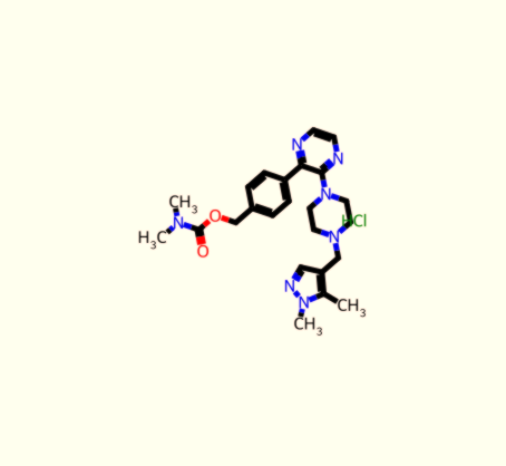 Cc1c(CN2CCN(c3nccnc3-c3ccc(COC(=O)N(C)C)cc3)CC2)cnn1C.Cl